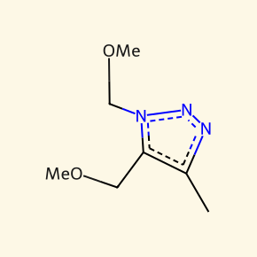 COCc1c(C)nnn1COC